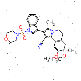 COC1=CC2=C(CCn3c(C)c(-c4cn(S(=O)(=O)N5CCOCC5)c5ccccc45)c(C#N)c32)CC1(C)OC